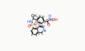 CC(NS(=O)(=O)c1cccc2cnccc12)c1ccc(C(=O)NO)cc1